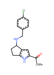 COC(=O)c1cc2c([nH]1)CCC2NCc1ccc(Cl)cc1